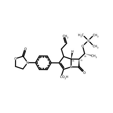 C=CCC1C(c2ccc(N3CCOC3=O)cc2)=C(C(=O)O)N2C(=O)[C@H]([C@@H](C)O[Si](C)(C)C)[C@@H]12